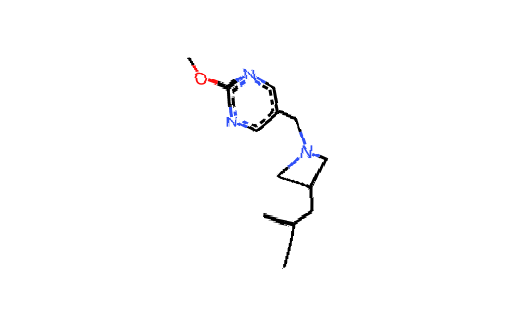 COc1ncc(CN2CC(CC(C)C)C2)cn1